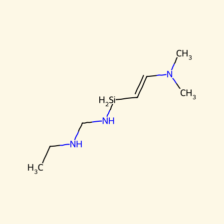 CCNCN[SiH2]C=CN(C)C